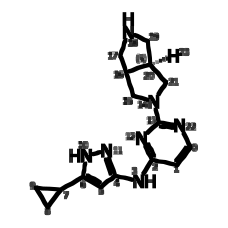 c1cc(Nc2cc(C3CC3)[nH]n2)nc(N2CC3CNC[C@H]3C2)n1